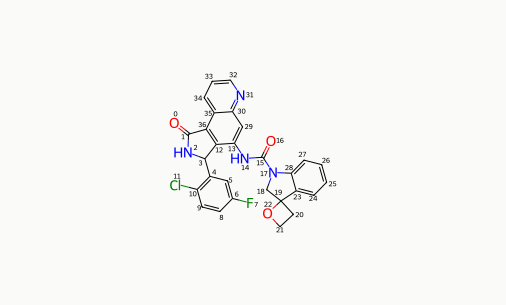 O=C1NC(c2cc(F)ccc2Cl)c2c(NC(=O)N3CC4(CCO4)c4ccccc43)cc3ncccc3c21